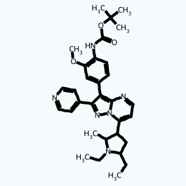 CCC1CC(c2ccnc3c(-c4ccc(NC(=O)OC(C)(C)C)c(OC)c4)c(-c4ccncc4)nn23)C(C)N1CC